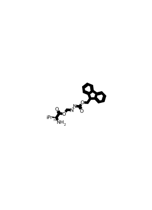 CC(C)[C@H](N)C(=O)OCN=NC(=O)OCC1c2ccccc2-c2ccccc21